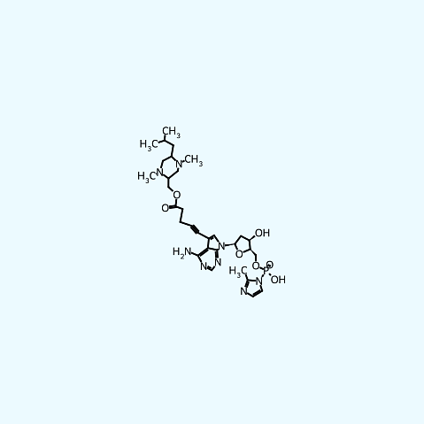 Cc1nccn1P(=O)(O)OC[C@H]1O[C@@H](n2cc(C#CCCC(=O)OCC3CN(C)C(CC(C)C)CN3C)c3c(N)ncnc32)C[C@H]1O